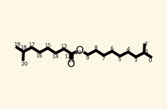 CC(C)CCCCCCCOC(=O)CCCCCC(C)C